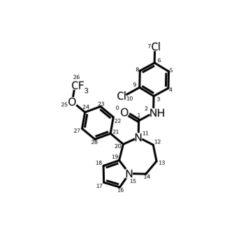 O=C(Nc1ccc(Cl)cc1Cl)N1CCCn2cccc2C1c1ccc(OC(F)(F)F)cc1